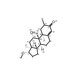 CO[C@H]1CC[C@H]2[C@@H]3CCC4=CC(=O)C(C)C[C@]4(C)[C@H]3[C@@H](O)C[C@]12C